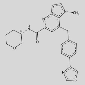 Cn1ccc2nc(C(=O)N[C@H]3CCCOC3)cc(Cc3ccc(-c4cscn4)cc3)c21